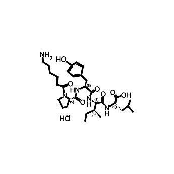 CC[C@H](C)[C@H](NC(=O)[C@H](Cc1ccc(O)cc1)NC(=O)[C@@H]1CCCN1C(=O)CCCCCN)C(=O)N[C@@H](CC(C)C)C(=O)O.Cl